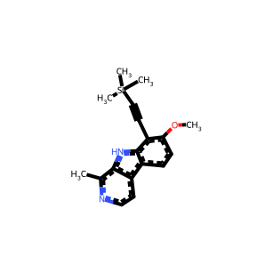 COc1ccc2c([nH]c3c(C)nccc32)c1C#C[Si](C)(C)C